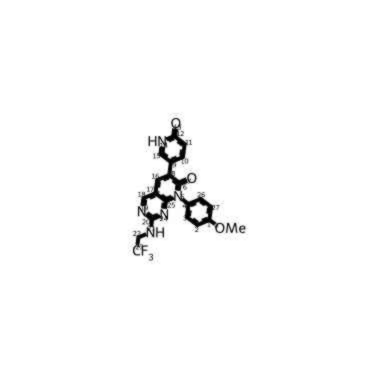 COc1ccc(-n2c(=O)c(-c3ccc(=O)[nH]c3)cc3cnc(NCC(F)(F)F)nc32)cc1